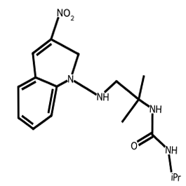 CC(C)NC(=O)NC(C)(C)CNN1CC([N+](=O)[O-])=Cc2ccccc21